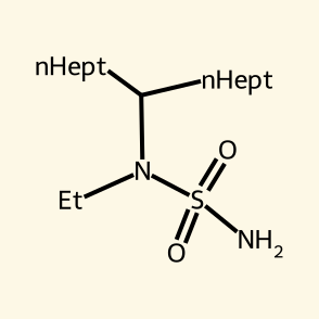 CCCCCCCC(CCCCCCC)N(CC)S(N)(=O)=O